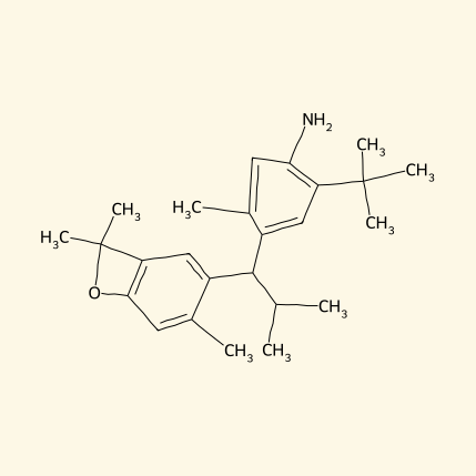 Cc1cc(N)c(C(C)(C)C)cc1C(c1cc2c(cc1C)OC2(C)C)C(C)C